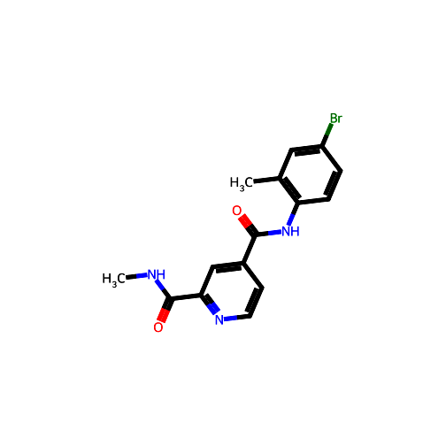 CNC(=O)c1cc(C(=O)Nc2ccc(Br)cc2C)ccn1